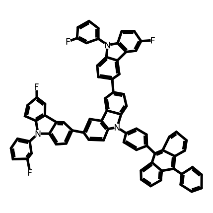 Fc1cccc(-n2c3ccc(F)cc3c3cc(-c4ccc5c(c4)c4cc(-c6ccc7c(c6)c6cc(F)ccc6n7-c6cccc(F)c6)ccc4n5-c4ccc(-c5c6ccccc6c(-c6ccccc6)c6ccccc56)cc4)ccc32)c1